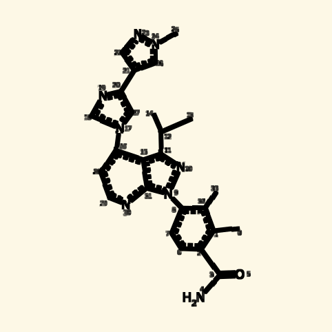 Cc1c(C(N)=O)ccc(-n2nc(C(C)C)c3c(-n4cnc(-c5cnn(C)c5)c4)ccnc32)c1C